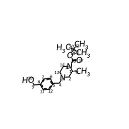 C[C@H]1CN(Cc2ccc(CO)cc2)CCN1C(=O)OC(C)(C)C